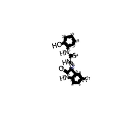 O=C1Nc2ccc(F)cc2/C1=N/NC(=S)Nc1ccccc1O